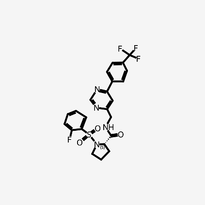 O=C(NCc1cc(-c2ccc(C(F)(F)F)cc2)ncn1)[C@@H]1CCCN1S(=O)(=O)c1ccccc1F